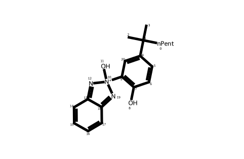 CCCCCC(C)(C)c1ccc(O)c([N+]2(O)N=c3ccccc3=N2)c1